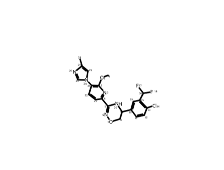 COc1nc(C2=NOCC(c3ccc(Cl)c(C(F)F)c3)N2)ccc1-n1cnc(C)c1